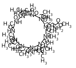 C/C=C/C[C@@H](C)[C@@H](O)[C@@H]1C(=O)N[C@H](C(C)C)C(=O)N(C)[C@H](CSC[C@H](N)C(=O)OC)C(=O)N(C)[C@@H](CC(C)C)C(=O)N[C@H](C(C)C)C(=O)N(C)[C@H](CC(C)C)C(=O)N[C@H](C)C(=O)N[C@@H](C)C(=O)N(C)[C@H](CC(C)C)C(=O)N(C)[C@H](CC(C)C)C(=O)N(C)[C@H](C(C)C)C(=O)N1C